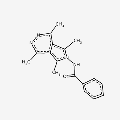 Cc1nnc(C)c2c(C)n(NC(=O)c3ccccc3)c(C)c12